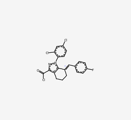 O=C(Cl)c1nn(-c2ccc(Cl)cc2Cl)c2c1CCC/C2=C\c1ccc(F)cc1